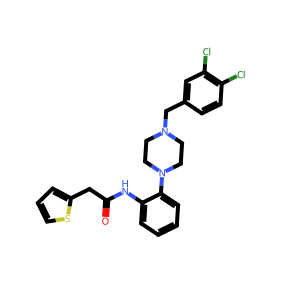 O=C(Cc1cccs1)Nc1ccccc1N1CCN(Cc2ccc(Cl)c(Cl)c2)CC1